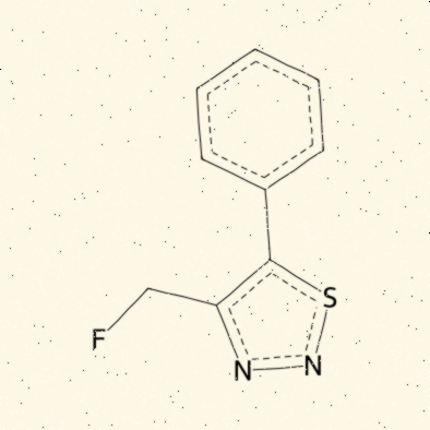 FCc1nnsc1-c1ccccc1